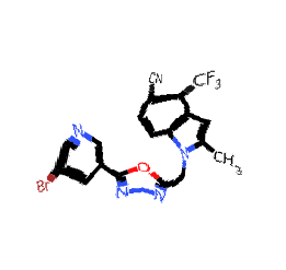 Cc1cc2c(C(F)(F)F)c(C#N)ccc2n1Cc1nnc(-c2cncc(Br)c2)o1